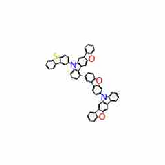 c1ccc2c(c1)oc1cc3c4ccccc4n(-c4ccc5c(c4)oc4ccc(-c6cccc7c6c6cc8oc9ccccc9c8cc6n7-c6ccc7sc8ccccc8c7c6)cc45)c3cc12